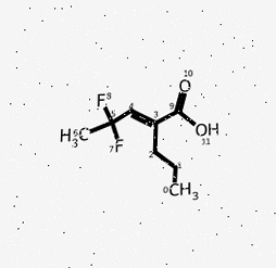 CCC/C(=C\C(C)(F)F)C(=O)O